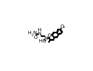 COc1ccc2cc(C=C(C)C(=O)N(O)CCNC(N)=O)ccc2c1